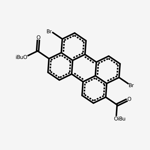 CC(C)COC(=O)c1ccc2c3ccc(C(=O)OCC(C)C)c4c(Br)ccc(c5ccc(Br)c1c52)c43